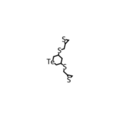 C1SC1CSC1C[Te]CC(SCC2CS2)C1